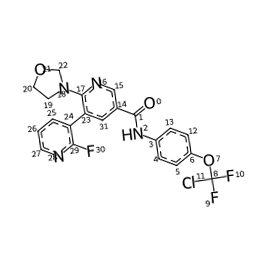 O=C(Nc1ccc(OC(F)(F)Cl)cc1)c1cnc(N2CCOC2)c(-c2cccnc2F)c1